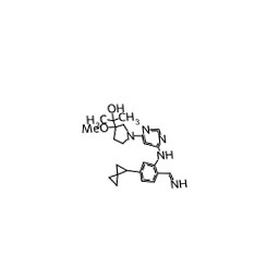 COC1(C(C)(C)O)CCN(c2cc(Nc3cc(C4CC45CC5)ccc3C=N)ncn2)C1